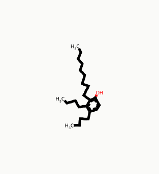 CCCCCCCCCc1c(O)ccc(CCCC)c1CCCC